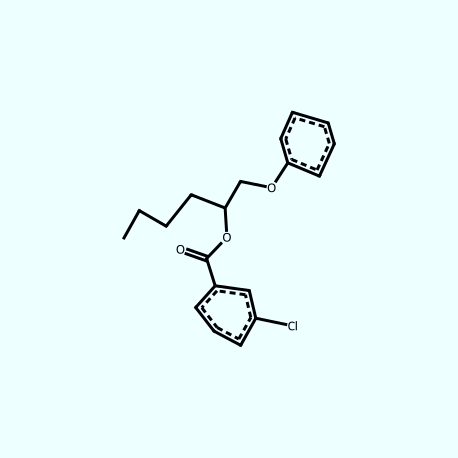 CCCCC(COc1ccccc1)OC(=O)c1cccc(Cl)c1